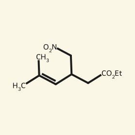 CCOC(=O)CC(C=C(C)C)C[N+](=O)[O-]